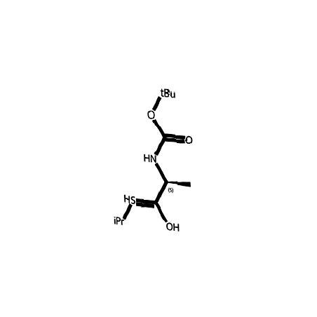 CC(C)[SH]=C(O)[C@H](C)NC(=O)OC(C)(C)C